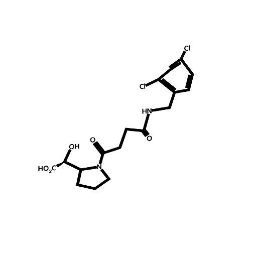 O=C(CCC(=O)N1CCCC1[C@H](O)C(=O)O)NCc1ccc(Cl)cc1Cl